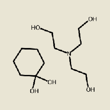 OC1(O)CCCCC1.OCCN(CCO)CCO